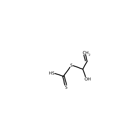 C=CC(O)SC(=S)S